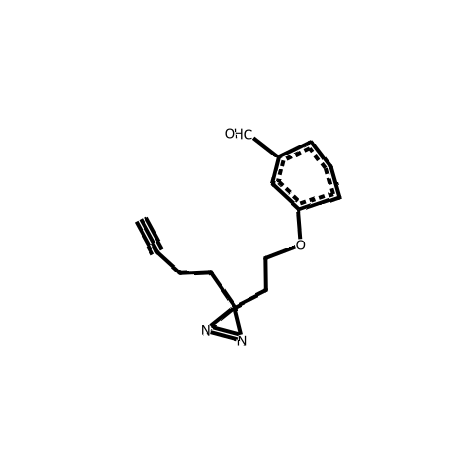 C#CCCC1(CCOc2cccc(C=O)c2)N=N1